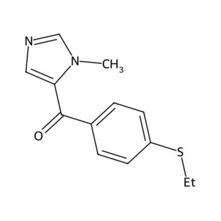 CCSc1ccc(C(=O)c2cncn2C)cc1